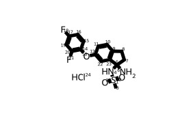 CS(=O)(=O)NC1(N)CCc2ccc(Oc3ccc(F)cc3F)cc21.Cl